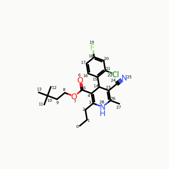 CCCC1=C(C(=O)OCCC(C)(C)C)C(c2ccc(F)cc2Cl)C(C#N)=C(C)N1